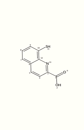 O=C(O)c1ccc2cccc(S)c2n1